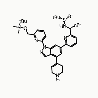 CCC[C@H](N[S@+]([O-])C(C)(C)C)c1cccc(-c2cc(C3=CCNCC3)c3cnn(-c4cccc(CO[Si](C)(C)C(C)(C)C)n4)c3c2)n1